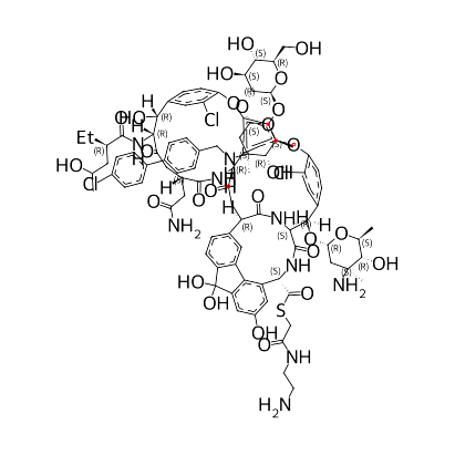 CC[C@H](CC(C)O)C(=O)N[C@H]1C(=O)C[C@@H](CC(N)=O)C(=O)N[C@H]2C(=O)C[C@H]3C(=O)N[C@H](C(=O)N[C@H](C(=O)SCC(=O)NCCN)c4cc(O)cc5c4-c4cc3ccc4C5(O)O)[C@H](O[C@H]3C[C@](C)(N)[C@@H](O)[C@H](C)O3)c3ccc(c(Cl)c3)Oc3cc2cc(c3O[C@@H]2O[C@H](CO)[C@@H](O)[C@H](O)[C@H]2O[C@H]2C[C@](C)(NCc3ccc(-c4ccc(Cl)cc4)cc3)[C@@H](O)[C@H](C)O2)Oc2ccc(cc2Cl)[C@H]1O